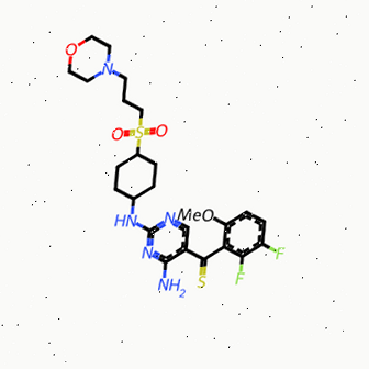 COc1ccc(F)c(F)c1C(=S)c1cnc(NC2CCC(S(=O)(=O)CCCN3CCOCC3)CC2)nc1N